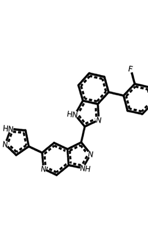 Fc1ccccc1-c1cccc2[nH]c(-c3n[nH]c4cnc(-c5cn[nH]c5)cc34)nc12